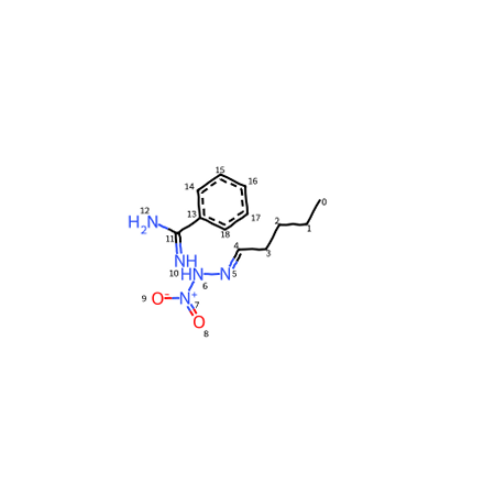 CCCCC=NN[N+](=O)[O-].N=C(N)c1ccccc1